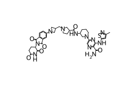 Cc1cc(Nc2nc(N3CCCC(NC(=O)C4CCN(CC5CN(c6ccc7c(c6)C(=O)N(C6CCC(=O)NC6=O)C7=O)C5)C4)C3)cnc2C(N)=O)sn1